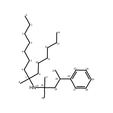 CCCCCCCC(C)(CCCCCC)NC(C)(C)CC(C)c1ccccc1